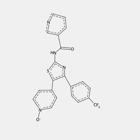 O=C(Nc1nc(-c2ccc(C(F)(F)F)cc2)c(-c2cc[n+]([O-])cc2)s1)c1cccnc1